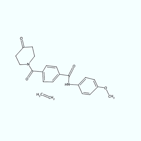 C=C.COc1ccc(NC(=O)c2ccc(C(=O)N3CCC(=O)CC3)cc2)cc1